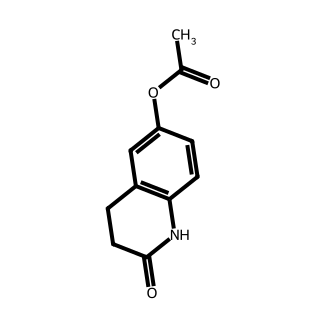 CC(=O)Oc1ccc2c(c1)CCC(=O)N2